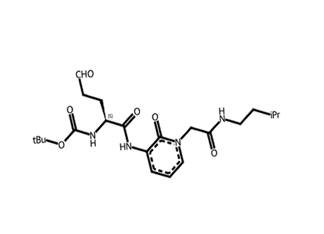 CC(C)CCNC(=O)Cn1cccc(NC(=O)[C@H](CCC=O)NC(=O)OC(C)(C)C)c1=O